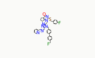 CN(Cc1ccccn1)Cc1nnc(Cn2c(SCc3ccc(F)cc3)nc(=O)c3c2CCC3)n1Cc1ccc(-c2ccc(CF)cc2)cc1